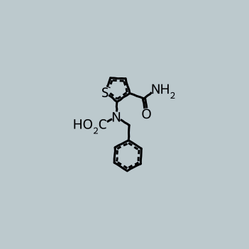 NC(=O)c1ccsc1N(Cc1ccccc1)C(=O)O